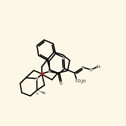 CCON=C(C(=O)OCC)c1nc2ccccc2n(C2CC3CCC[C@H](C2)N3C2CC3CCCCC(C3)C2)c1=O